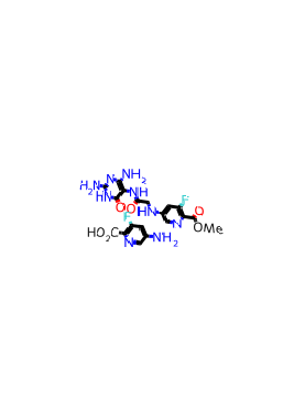 COC(=O)c1ncc(NCC(=O)Nc2c(N)nc(N)[nH]c2=O)cc1F.Nc1cnc(C(=O)O)c(F)c1